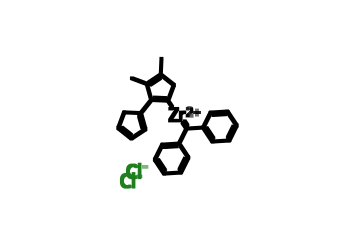 CC1=C(C)C(C2=CC=CC2)=[C]([Zr+2]=[C](c2ccccc2)c2ccccc2)C1.[Cl-].[Cl-]